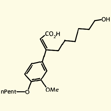 CCCCCOc1ccc(/C(=C/C(=O)O)CCCCCCO)cc1OC